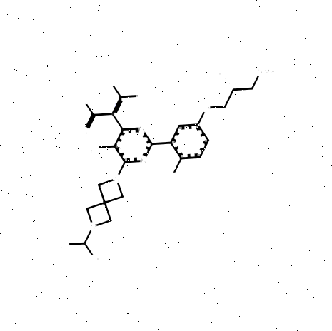 CNC[C@@H](O)COc1ccc(Cl)c(-c2nc(/C(C(C)=N)=C(\C)O)c(C)c(N3CC4(C3)CN(C(O)C(F)(F)F)C4)n2)c1